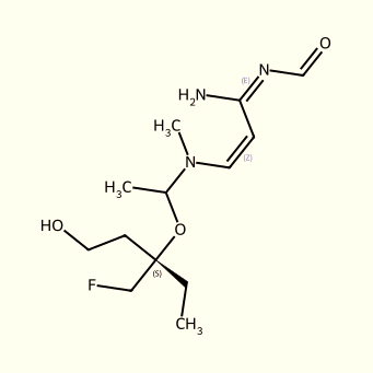 CC[C@@](CF)(CCO)OC(C)N(C)/C=C\C(N)=N/C=O